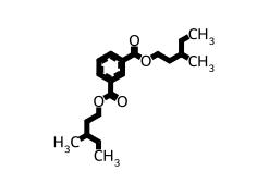 CCC(C)CCOC(=O)c1cccc(C(=O)OCCC(C)CC)c1